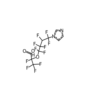 O=C(O)C(F)(OC(F)(F)C(F)(F)C(F)C(F)(F)n1ccnc1)C(F)(F)F